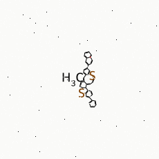 Cc1c2c(cccsc3cc(-c4ccc5ccccc5c4)ccc13)C1c3ccc(-c4ccccc4)cc3SC1C=C2